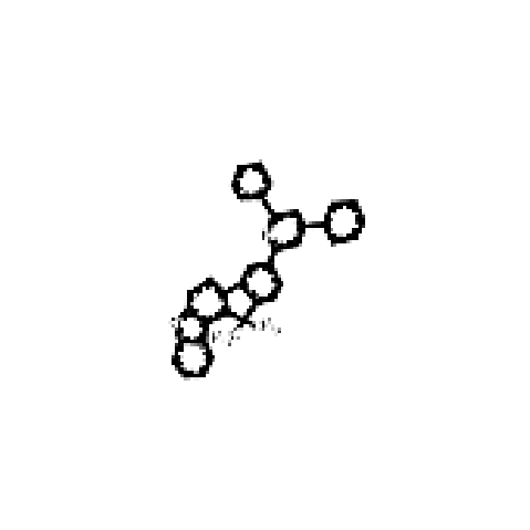 CC1(C)c2ccc(-c3cc(-c4ccccc4)cc(-c4ccccc4)n3)cc2-c2ccc3oc4ccccc4c3c21